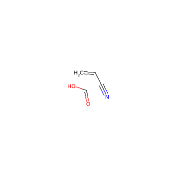 C=CC#N.O=CO